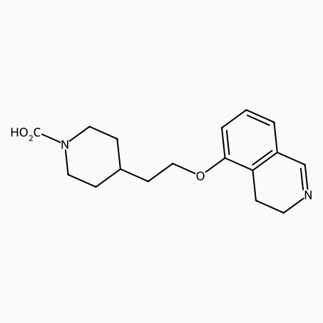 O=C(O)N1CCC(CCOc2cccc3c2CCN=C3)CC1